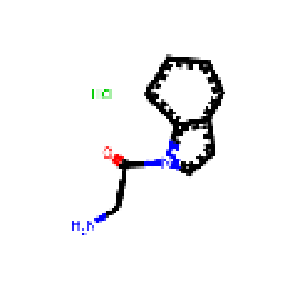 Cl.NCC(=O)n1ccc2ccccc21